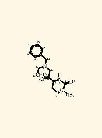 CC(C)CC(NC(=O)OC(C)(C)C)C(=O)CN(CC=O)Cc1ccccc1